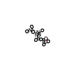 C1=Cc2c(c3cc4c(cc3n2-c2ccccc2-c2ccccc2)c2ccccc2n4-c2nc(-c3ccccc3)nc(-c3ccc4c(c3)c3ccccc3n4-c3ccccc3)n2)CC1